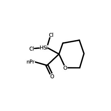 CCCC(=O)C1([SiH](Cl)Cl)CCCCO1